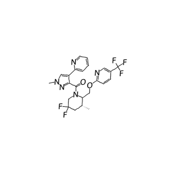 C[C@@H]1CC(F)(F)CN(C(=O)c2nn(C)cc2-c2ccccn2)C1COc1ccc(C(F)(F)F)cn1